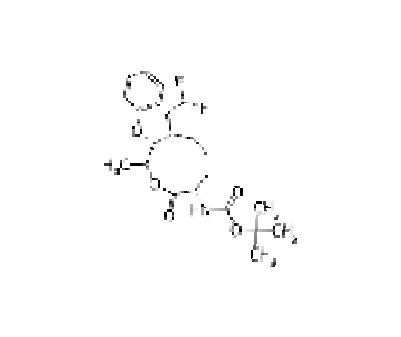 C[C@@H]1OC(=O)[C@@H](NC(=O)OC(C)(C)C)CCC[C@H](CC(F)F)[C@H]1Oc1ccccc1